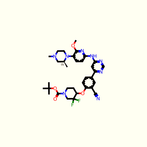 COc1nc(Nc2cc(-c3ccc(OC4CCN(C(=O)OC(C)(C)C)CC4(F)F)c(C#N)c3)ncn2)ccc1N1CCN(C)C[C@@H]1C